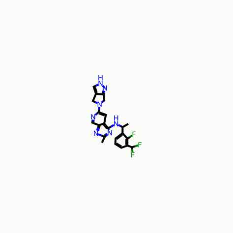 Cc1nc(NC(C)c2cccc(C(F)F)c2F)c2cc(N3Cc4c[nH]nc4C3)ncc2n1